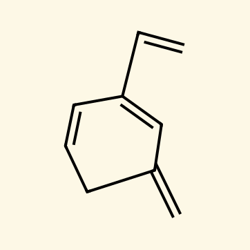 C=CC1=CC(=C)CC=C1